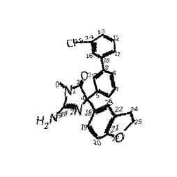 CN1C(=O)C(c2cccc(-c3cccc(Cl)c3)c2)(c2ccc3c(c2)CCO3)N=C1N